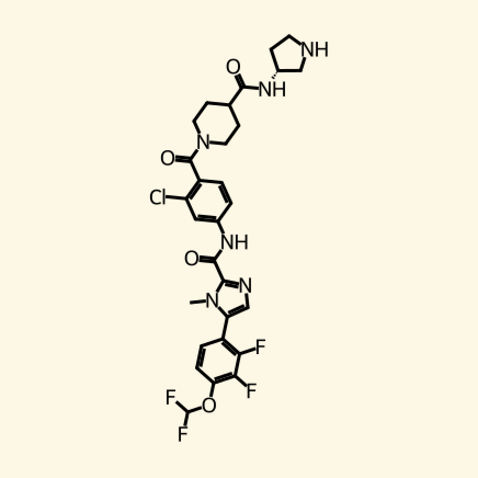 Cn1c(-c2ccc(OC(F)F)c(F)c2F)cnc1C(=O)Nc1ccc(C(=O)N2CCC(C(=O)N[C@@H]3CCNC3)CC2)c(Cl)c1